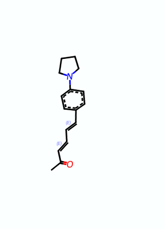 CC(=O)/C=C/C=C/c1ccc(N2CCCC2)cc1